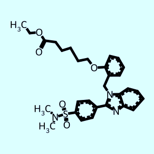 CCOC(=O)CCCCCOc1ccccc1Cn1c(-c2ccc(S(=O)(=O)N(C)C)cc2)nc2ccccc21